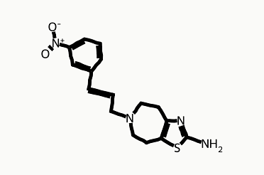 Nc1nc2c(s1)CCN(CC=Cc1cccc([N+](=O)[O-])c1)CC2